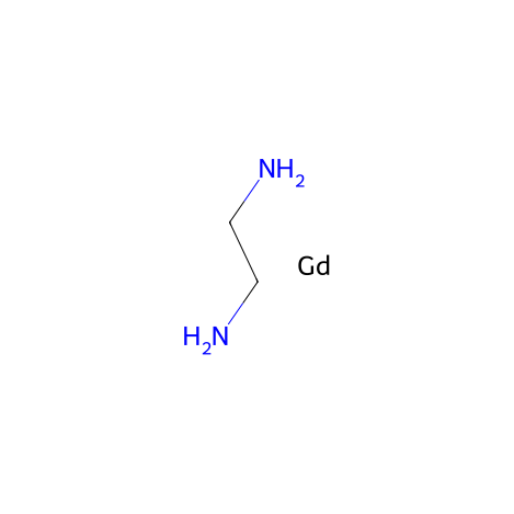 NCCN.[Gd]